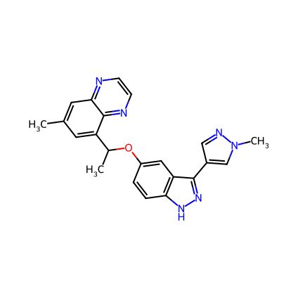 Cc1cc(C(C)Oc2ccc3[nH]nc(-c4cnn(C)c4)c3c2)c2nccnc2c1